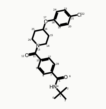 CC(C)(C)NC(=O)c1ccc(C(=O)N2CCC(Oc3ccc(Cl)cc3)CC2)cc1